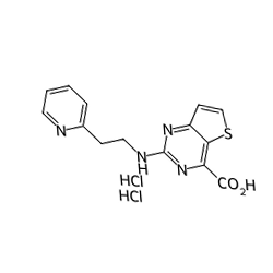 Cl.Cl.O=C(O)c1nc(NCCc2ccccn2)nc2ccsc12